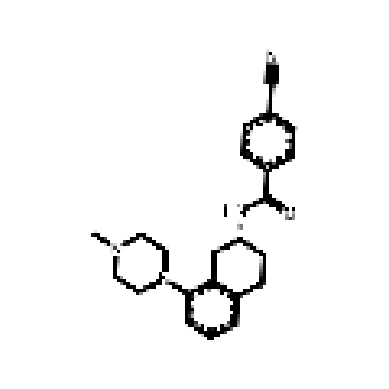 CN1CCN(c2cccc3c2C[C@H](NC(=O)c2ccc(C#N)cc2)CC3)CC1